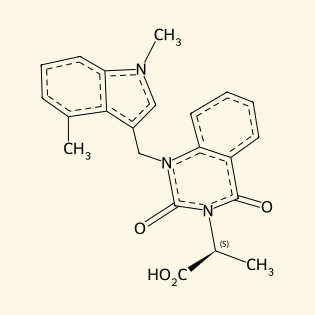 Cc1cccc2c1c(Cn1c(=O)n([C@@H](C)C(=O)O)c(=O)c3ccccc31)cn2C